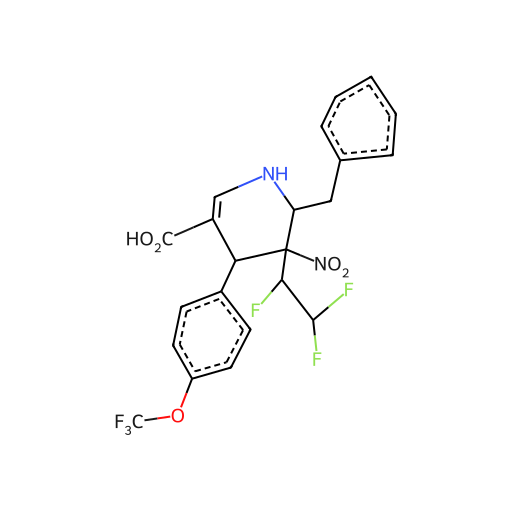 O=C(O)C1=CNC(Cc2ccccc2)C(C(F)C(F)F)([N+](=O)[O-])C1c1ccc(OC(F)(F)F)cc1